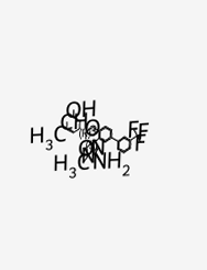 CC(C)=CC(CCO)[C@H]1C[C@@]2(N=C(N)N(C)O2)c2cc(-c3cccc(C(F)(F)F)c3)ccc2O1